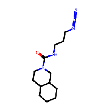 [N-]=[N+]=NCCCNC(=O)N1CCC2CCCCC2C1